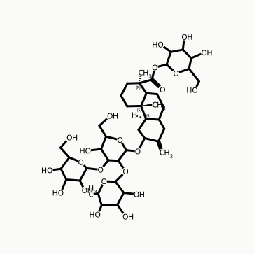 C=C1CC2CCC3[C@](C)(C(=O)OC4OC(CO)C(O)C(O)C4O)CCC[C@@]3(C)[C@@H]2CC1OC1OC(CO)C(O)C(OC2OC(CO)C(O)C(O)C2O)C1OC1OC(C)C(O)C(O)C1O